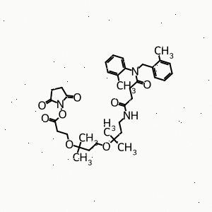 Cc1ccccc1CN(C(=O)CCC(=O)NCCC(C)(C)OCCC(C)(C)OCCC(=O)ON1C(=O)CCC1=O)c1ccccc1C